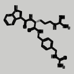 N=C(N)NCCC[C@@H](NC(=O)c1c[nH]c2ccccc12)C(=O)NCc1ccc(CNC(N)=O)cc1